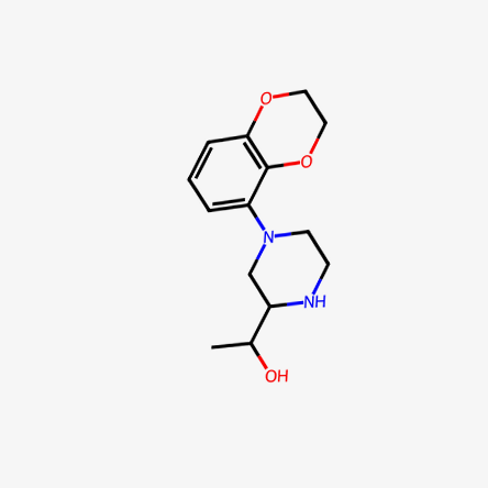 CC(O)C1CN(c2cccc3c2OCCO3)CCN1